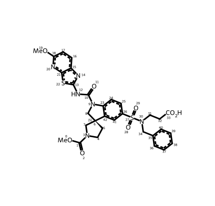 COC(=O)N1CC[C@@]2(C1)CN(C(=O)Nc1nc3ccc(OC)nc3s1)c1ccc(S(=O)(=O)N(CCC(=O)O)Cc3ccccc3)cc12